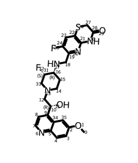 COc1ccc2nccc([C@@H](O)CN3CC[C@@H](NCc4nc5c(cc4F)SCC(=O)N5)[C@@H](F)C3)c2c1